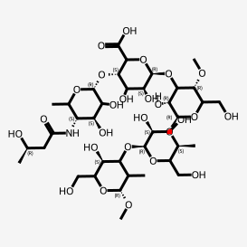 CO[C@@H]1OC(CO)[C@@H](O)C(O[C@H](OC(CO)[C@H](C)O[C@@H]2OC(CO)[C@@H](OC)C(O[C@@H]3OC(C(=O)O)[C@@H](O[C@H]4OC(C)[C@@H](NC(=O)C[C@@H](C)O)[C@H](O)C4O)C(O)[C@@H]3O)[C@H]2O)[C@@H](O)CO)C1C